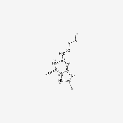 CCCONc1nc2nc(C)[nH]c2c(=O)[nH]1